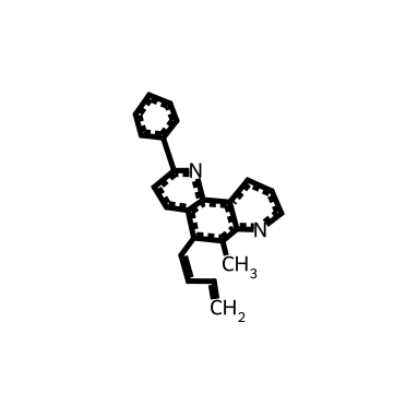 C=C/C=C\c1c(C)c2ncccc2c2nc(-c3ccccc3)ccc12